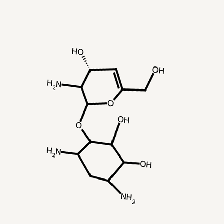 NC1CC(N)C(OC2OC(CO)=C[C@@H](O)C2N)C(O)C1O